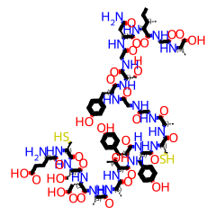 CC[C@H](C)[C@H](NC(=O)[C@H](CC(N)=O)NC(=O)CNC(=O)[C@H](CO)NC(=O)[C@H](Cc1ccc(O)cc1)NC(=O)CNC(=O)CNC(=O)[C@H](C)NC(=O)[C@H](CS)NC(=O)[C@H](Cc1ccc(O)cc1)NC(=O)[C@H](Cc1ccc(O)cc1)NC(=O)[C@@H](NC(=O)[C@H](C)NC(=O)[C@H](C)NC(=O)[C@H](CC(=O)O)NC(=O)[C@H](CO)NC(=O)[C@H](CS)NC(=O)[C@@H](N)CCC(=O)O)[C@@H](C)O)C(=O)NCC(=O)N[C@@H](C)C(=O)O